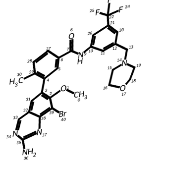 COc1c(-c2cc(C(=O)Nc3cc(CN4CCOCC4)cc(C(F)(F)F)c3)ccc2C)cc2cnc(N)nc2c1Br